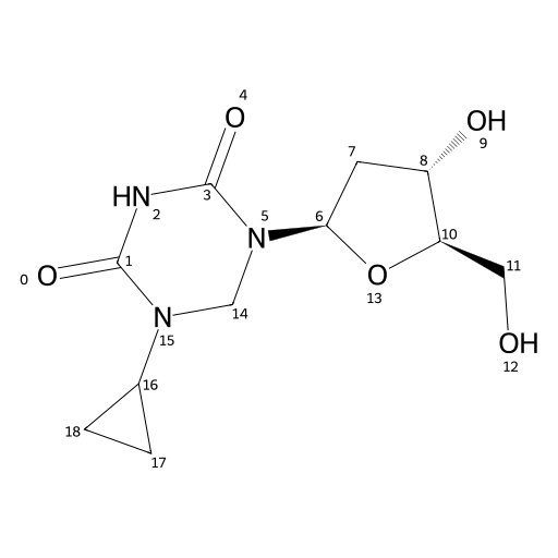 O=C1NC(=O)N([C@H]2C[C@H](O)[C@@H](CO)O2)CN1C1CC1